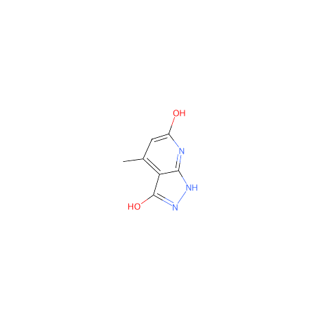 Cc1cc(O)nc2[nH]nc(O)c12